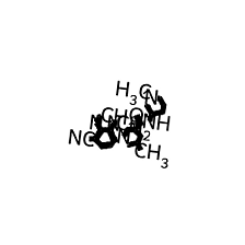 C=Nc1c(N2CC(C)CC(C(=O)NC3CCCN(C)C3)C2)ccc(C#N)c1/N=C\C